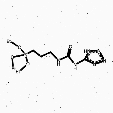 CCO[Si](CCCNC(=O)Nc1nnn[nH]1)(OCC)OCC